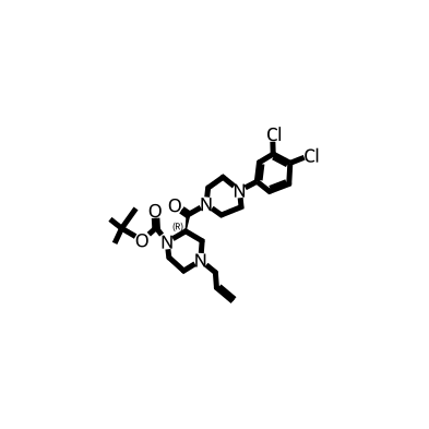 C=CCN1CCN(C(=O)OC(C)(C)C)[C@@H](C(=O)N2CCN(c3ccc(Cl)c(Cl)c3)CC2)C1